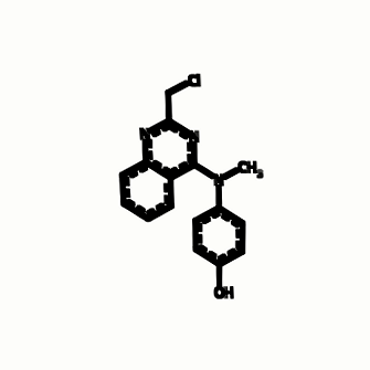 CN(c1ccc(O)cc1)c1nc(CCl)nc2ccccc12